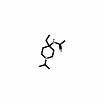 CCC1(NC(C)=O)CCN(C(C)C)CC1